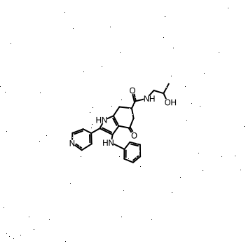 CC(O)CNC(=O)C1CC(=O)c2c([nH]c(-c3ccncc3)c2Nc2ccccc2)C1